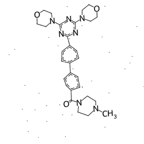 CN1CCN(C(=O)c2[c]cc(-c3ccc(-c4nc(N5CCOCC5)nc(N5CCOCC5)n4)cc3)cc2)CC1